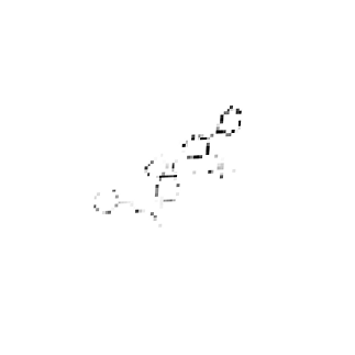 C[C@H](CC1CCCCC1)C(=O)N1CCC(O)(Cn2cc(N=S(C)(C)=O)c(-c3ccccc3)cc2=O)C2(CCCC2)C1